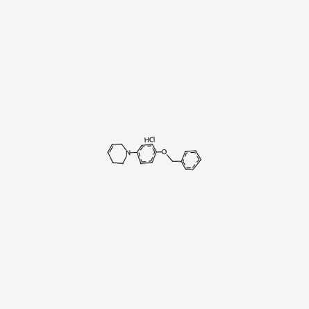 C1=CCN(c2ccc(OCc3ccccc3)cc2)CC1.Cl